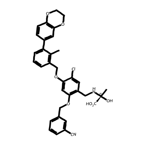 Cc1c(COc2cc(OCc3cccc(C#N)c3)c(CN[C@](C)(O)C(=O)O)cc2Cl)cccc1-c1ccc2c(c1)OCCO2